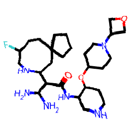 NC(N)C(C(=O)NC1CNCCC1OC1CCN(C2COC2)CC1)C1CC2(CCCC2)CCC(F)CN1